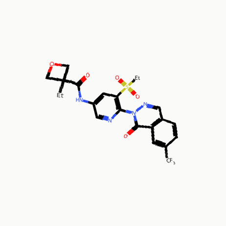 CCC1(C(=O)Nc2cnc(-n3ncc4ccc(C(F)(F)F)cc4c3=O)c(S(=O)(=O)CC)c2)COC1